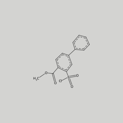 COC(=O)c1ccc(-c2ccccc2)cc1S(=O)(=O)Cl